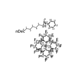 CCCCCCCCCCCCCCCC[NH+](C)c1ccccc1.Fc1c(F)c(F)c([B-](c2c(F)c(F)c(F)c(F)c2F)(c2c(F)c(F)c(F)c(F)c2F)c2c(F)c(F)c(F)c(F)c2F)c(F)c1F